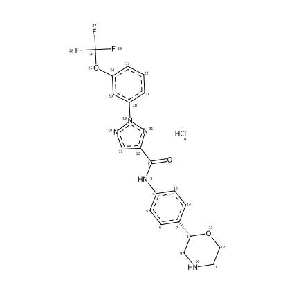 Cl.O=C(Nc1ccc([C@H]2CNCCO2)cc1)c1cnn(-c2cccc(OC(F)(F)F)c2)n1